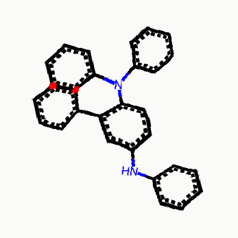 c1ccc(Nc2ccc(N(c3ccccc3)c3ccccc3)c(-c3ccccc3)c2)cc1